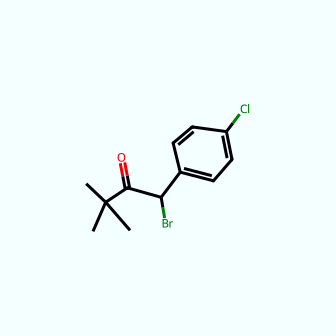 CC(C)(C)C(=O)C(Br)c1ccc(Cl)cc1